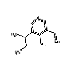 CCC(C)c1cncc(C=N)c1N